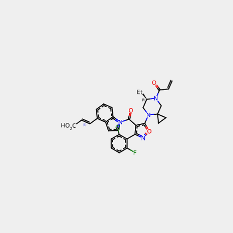 C=CC(=O)N1CC2(CC2)N(c2onc(-c3c(F)cccc3Cl)c2C(=O)n2ccc3c(/C=C/C(=O)O)cccc32)C[C@H]1CC